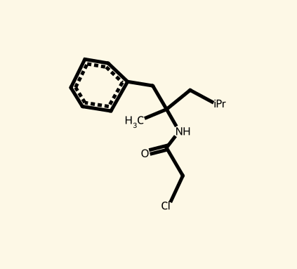 CC(C)CC(C)(Cc1ccccc1)NC(=O)CCl